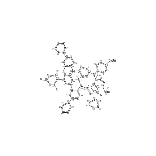 CCCCc1ccc(N2c3ccc4c(c3)B3c5c(cc(-c6c(C)cc(C)cc6C)cc5N4c4ccc(-c5ccccc5)cc4C)-c4cc(-c5ccccc5)ccc4N3C3=CC(C)(c4ccccc4)C4=C(C3C)C2(C)C=CC4(C)CCCC)cc1